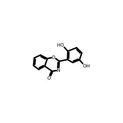 O=c1nc(-c2cc(O)ccc2O)oc2ccccc12